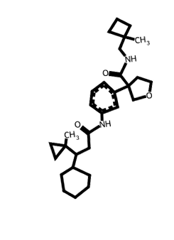 CC1(CNC(=O)C2(c3cccc(NC(=O)CC(C4CCCCC4)C4(C)CC4)c3)CCOC2)CCC1